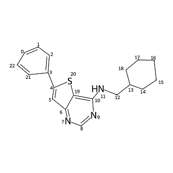 c1ccc(-c2cc3ncnc(NCC4CCCCC4)c3s2)cc1